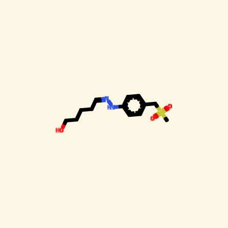 CS(=O)(=O)Cc1ccc(N/N=C\CCCCO)cc1